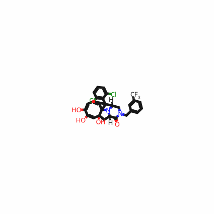 O=C1[C@@H]2CC3(O)/C=C(O)\C(O)=C/C4=CC3(Cc3c(Cl)cccc3Cl)N2[C@H]4CN1Cc1cccc(C(F)(F)F)c1